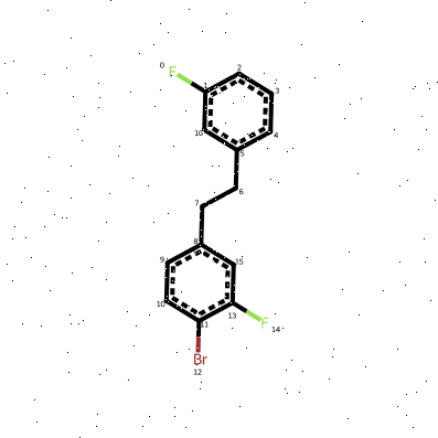 Fc1cccc(CCc2ccc(Br)c(F)c2)c1